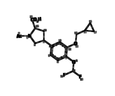 CC(=O)N1CC(c2ccc(OC(F)F)c(OCC3CC3)c2)CC1C(=O)O